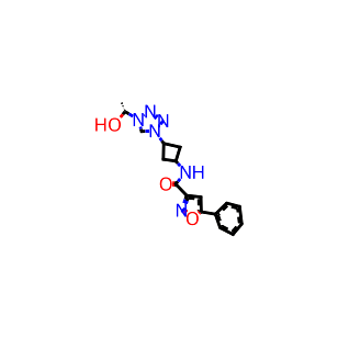 C[C@@H](O)N1CN(C2CC(NC(=O)c3cc(-c4ccccc4)on3)C2)N=N1